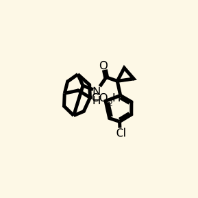 O=C(O)C12CC3CC(C1)C(NC(=O)C1(c4ccc(Cl)cc4)CC1)C(C3)C2